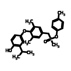 Cc1ccc(OP(C)(=O)Cc2cc(C)c(Oc3ccc(O)c(C(C)C)c3)c(C)c2)cc1